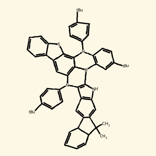 CC(C)(C)c1ccc(N2c3cc4c(sc5ccccc54)c4c3B(c3cc(C(C)(C)C)ccc3N4c3ccc(C(C)(C)C)cc3)c3[nH]c4cc5c(cc4c32)C2C=CC=CC2C5(C)C)cc1